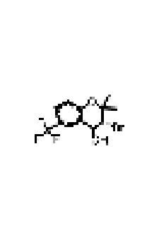 CC1(C)Oc2ccc(C(F)(F)F)cc2[C@H](O)[C@H]1Br